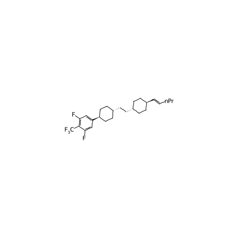 CCC/C=C/[C@H]1CC[C@H](CC[C@H]2CC[C@H](c3cc(F)c(C(F)(F)F)c(F)c3)CC2)CC1